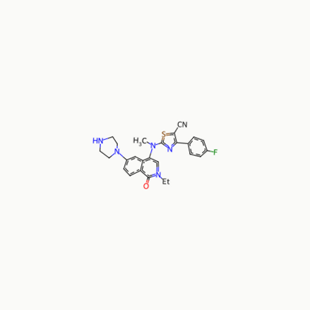 CCn1cc(N(C)c2nc(-c3ccc(F)cc3)c(C#N)s2)c2cc(N3CCNCC3)ccc2c1=O